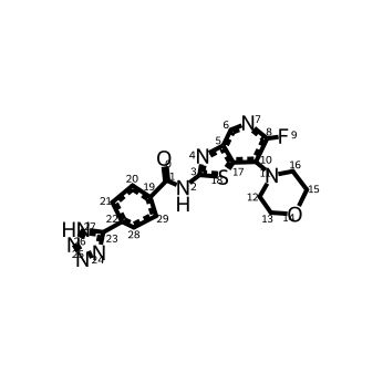 O=C(Nc1nc2cnc(F)c(N3CCOCC3)c2s1)c1ccc(-c2nnn[nH]2)cc1